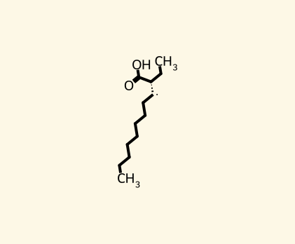 CCCCCCCC[CH][C@@H](CC)C(=O)O